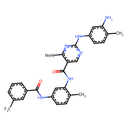 CNc1nc(Nc2ccc(C)c(N)c2)ncc1C(=O)Nc1cc(NC(=O)c2cccc(C(F)(F)F)c2)ccc1C